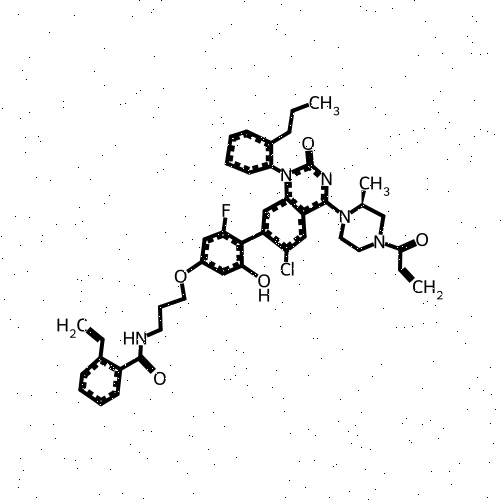 C=CC(=O)N1CCN(c2nc(=O)n(-c3ccccc3CCC)c3cc(-c4c(O)cc(OCCCNC(=O)c5ccccc5C=C)cc4F)c(Cl)cc23)[C@@H](C)C1